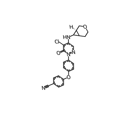 N#Cc1ccc(Oc2ccc(-n3ncc(NC4C5CCOC[C@@H]54)c(Cl)c3=O)cc2)cc1